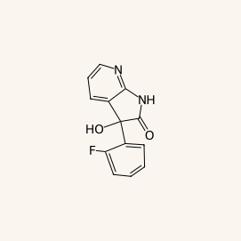 O=C1Nc2ncccc2C1(O)c1ccccc1F